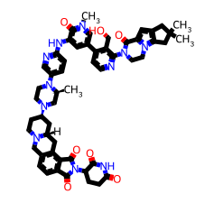 C[C@H]1CN([C@@H]2CCN3Cc4ccc5c(c4C[C@H]3C2)C(=O)N(C2CCC(=O)NC2=O)C5=O)CCN1c1ccc(Nc2cc(-c3ccnc(N4CCn5c(cc6c5CC(C)(C)C6)C4=O)c3CO)cn(C)c2=O)nc1